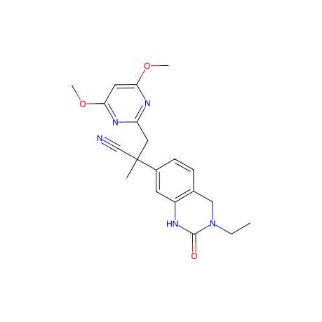 CCN1Cc2ccc(C(C)(C#N)Cc3nc(OC)cc(OC)n3)cc2NC1=O